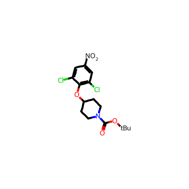 CC(C)(C)OC(=O)N1CCC(Oc2c(Cl)cc([N+](=O)[O-])cc2Cl)CC1